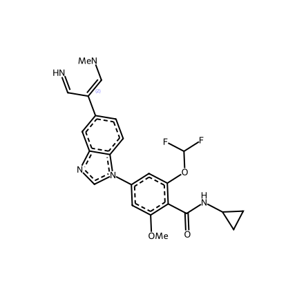 CN/C=C(\C=N)c1ccc2c(c1)ncn2-c1cc(OC)c(C(=O)NC2CC2)c(OC(F)F)c1